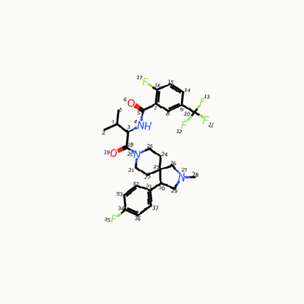 CC(C)[C@@H](NC(=O)c1cc(C(F)(F)F)ccc1F)C(=O)N1CCC2(CC1)CN(C)CC2c1ccc(F)cc1